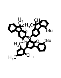 Cc1cc(C)c(-c2cc(N(c3ccc4c(c3)C(C)(C)c3cccc(C(C)(C)C)c3-4)c3cc4c(cc3C)-c3ccccc3C4(C)C)c3oc4c(C(C)(C)C)cccc4c3c2)c(C)c1